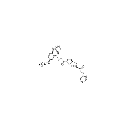 COc1ccc2nc(C)nc(SCC(=O)c3ccc(CNC(=O)CCc4ccccn4)s3)c2c1